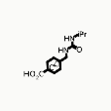 CC(C)NC(=O)NCC12CCC(C(=O)O)(CC1)CC2